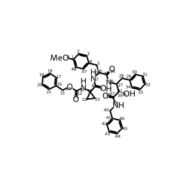 COc1ccc(C[C@H](NC(=O)C2(NC(=O)OCc3ccccc3)CC2)C(=O)NC(Cc2ccccc2)[C@H](O)C(=O)NCc2ccccc2)cc1